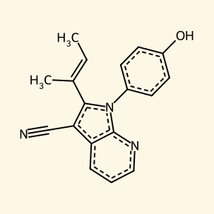 C/C=C(\C)c1c(C#N)c2cccnc2n1-c1ccc(O)cc1